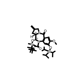 C=C1C[C@H]2[C@H](O[Si](C)(C)C(C)(C)C)N(C(=O)OC(C)(C)C)c3cc(O[Si](C(C)C)(C(C)C)C(C)C)c(OC)cc3C(=O)N2C1